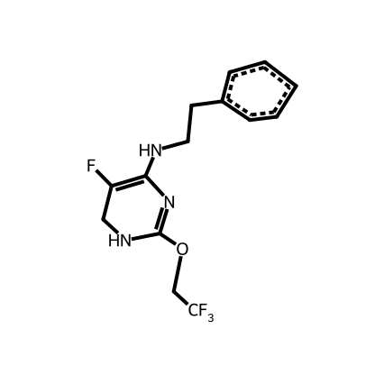 FC1=C(NCCc2ccccc2)N=C(OCC(F)(F)F)NC1